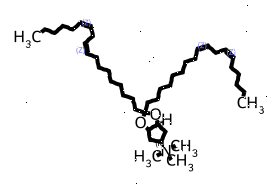 CCCCC/C=C\C/C=C\CCCCCCCCC1(CCCCCCCC/C=C\C/C=C\CCCCC)OC2C[C@@H]([N+](C)(C)C)C[C@@H]2O1